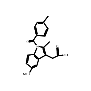 COc1ccc2c(c1)c(CC(=O)N=O)c(C)n2C(=O)c1ccc(C)cc1